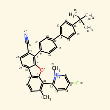 Cc1ccc2c(oc3c(-c4ccc(-c5ccc(C(C)(C)C)cc5)cc4)c(C#N)ccc32)c1-c1ccc(F)c[n+]1C